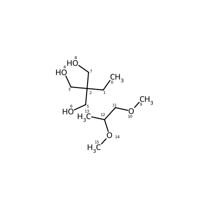 CCC(CO)(CO)CO.COCC(C)OC